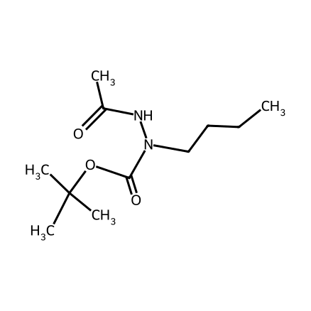 CCCCN(NC(C)=O)C(=O)OC(C)(C)C